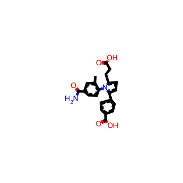 Cc1cc(C(N)=O)ccc1-n1c(CCC(=O)O)ccc1-c1ccc(C(=O)O)cc1